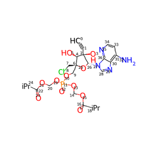 C#C[C@@]1(O)[C@H](O)[C@@](CCl)(COP(=O)(OCOC(=O)C(C)C)OCOC(=O)C(C)C)O[C@H]1n1cnc2c(N)ccnc21